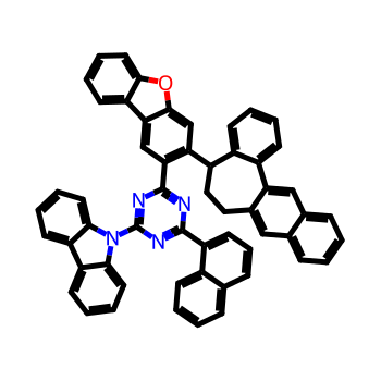 c1ccc2c(c1)-c1cc3ccccc3cc1CCC2c1cc2oc3ccccc3c2cc1-c1nc(-c2cccc3ccccc23)nc(-n2c3ccccc3c3ccccc32)n1